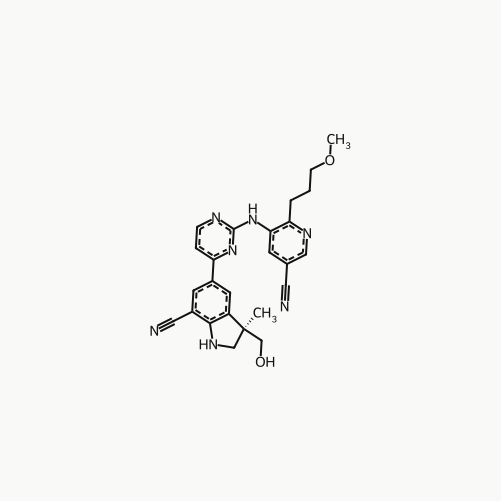 COCCCc1ncc(C#N)cc1Nc1nccc(-c2cc(C#N)c3c(c2)[C@@](C)(CO)CN3)n1